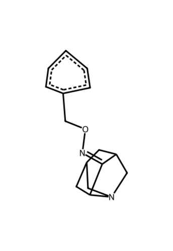 c1ccc(CON=C2C3CC4CC2N(C4)C3)cc1